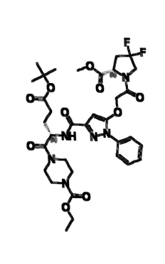 CCOC(=O)N1CCN(C(=O)[C@H](CCC(=O)OC(C)(C)C)NC(=O)c2cc(OCC(=O)N3CC(F)(F)C[C@H]3C(=O)OC)n(-c3ccccc3)n2)CC1